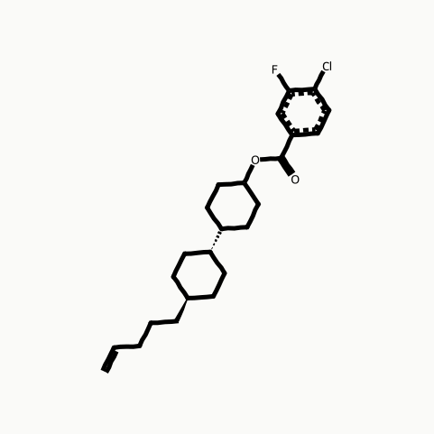 C=CCCC[C@H]1CC[C@H](C2CCC(OC(=O)c3ccc(Cl)c(F)c3)CC2)CC1